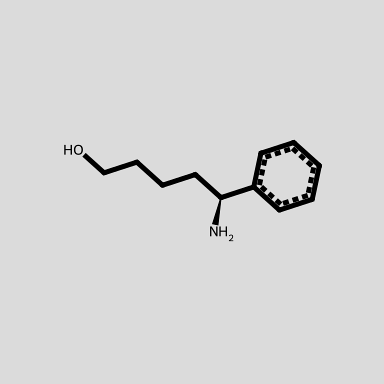 N[C@@H](CCCCO)c1ccccc1